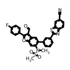 CN(c1cc2oc(-c3ccc(F)cc3)c(C=O)c2cc1-c1cccc(-c2nc3ccc(C#N)cc3s2)c1)S(C)(=O)=O